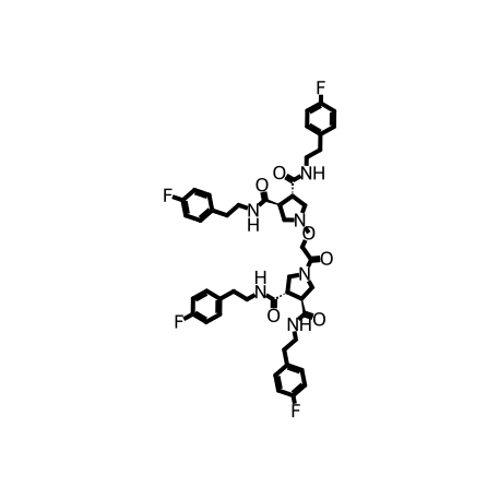 O=C(NCCc1ccc(F)cc1)[C@@H]1CN(OCC(=O)N2C[C@@H](C(=O)NCCc3ccc(F)cc3)[C@H](C(=O)NCCc3ccc(F)cc3)C2)C[C@H]1C(=O)NCCc1ccc(F)cc1